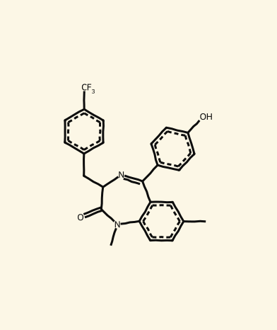 Cc1ccc2c(c1)C(c1ccc(O)cc1)=NC(Cc1ccc(C(F)(F)F)cc1)C(=O)N2C